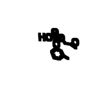 Cc1ccccc1.O=S(=O)(O)OCC1CO1